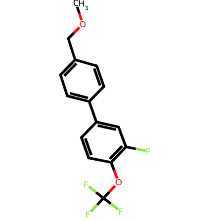 COCc1ccc(-c2ccc(OC(F)(F)F)c(F)c2)cc1